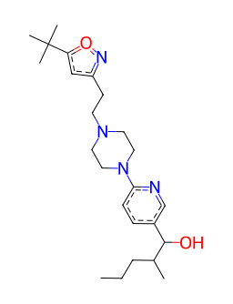 CCCC(C)C(O)c1ccc(N2CCN(CCc3cc(C(C)(C)C)on3)CC2)nc1